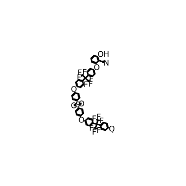 COc1ccc(C(c2ccc(Oc3ccc(S(=O)(=O)c4ccc(Oc5ccc(C(c6ccc(Oc7cccc(O)c7C#N)cc6)(C(F)(F)F)C(F)(F)F)cc5)cc4)cc3)cc2)(C(F)(F)F)C(F)(F)F)cc1